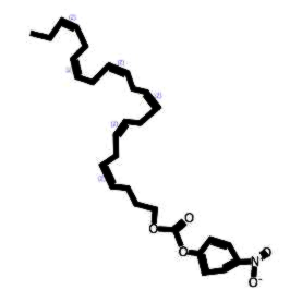 CC/C=C\C/C=C\C/C=C\C/C=C\C/C=C\C/C=C\CCCOC(=O)Oc1ccc([N+](=O)[O-])cc1